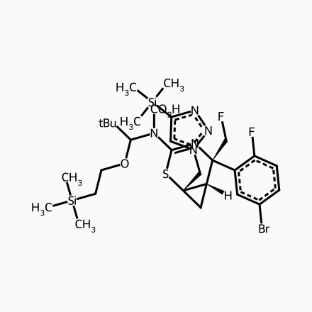 CC(C)(C)C(OCC[Si](C)(C)C)N(C(=O)O)C1=N[C@](CF)(c2cc(Br)ccc2F)[C@@H]2C[C@]2(Cn2cc([Si](C)(C)C)nn2)S1